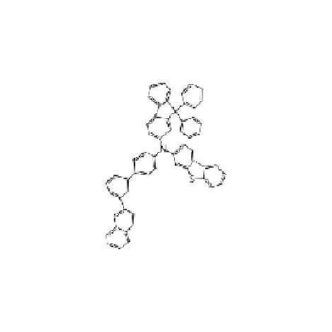 c1ccc(C2(c3ccccc3)c3ccccc3-c3ccc(N(c4ccc(-c5cccc(-c6ccc7ccccc7c6)c5)cc4)c4ccc5c(c4)sc4ccccc45)cc32)cc1